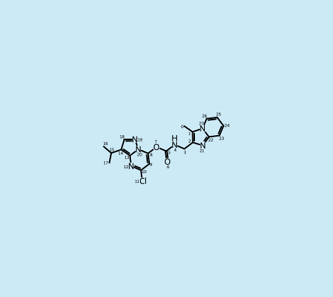 Cc1c(CNC(=O)Oc2cc(Cl)nc3c(C(C)C)cnn23)nc2ccccn12